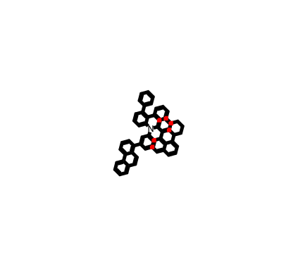 c1ccc(-c2cccc(N(c3cccc(-c4cccc5c4ccc4ccccc45)c3)c3ccccc3-c3cccc4cccc(C5CCCCC5)c34)c2-c2ccccc2)cc1